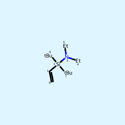 C=C[Si](N(CC)CC)(C(C)(C)C)C(C)(C)C